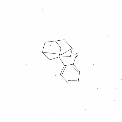 [S]c1ccccc1C12CC3CC(CC(C3)C1)C2